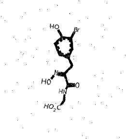 O=C(O)CNC(=O)C(Cc1ccc(O)c(Br)c1)=NO